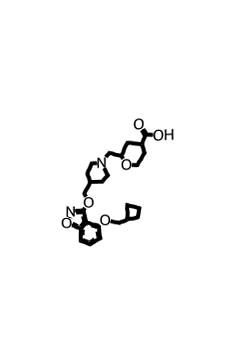 O=C(O)C1CCOC(CN2CCC(COc3noc4cccc(OCC5CCC5)c34)CC2)C1